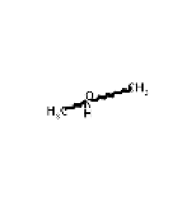 CCCCCCCCCCC(=O)NCCCCCC